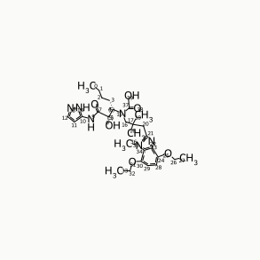 CCCC[C@@H]([C@H](O)C(=O)Nc1ccn[nH]1)N(CC(C)(C)Cc1nc2c(OCC)ccc(OCC)c2n1C)C(=O)O